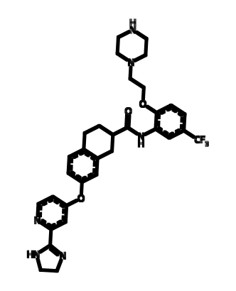 O=C(Nc1cc(C(F)(F)F)ccc1OCCN1CCNCC1)C1CCc2ccc(Oc3ccnc(C4=NCCN4)c3)cc2C1